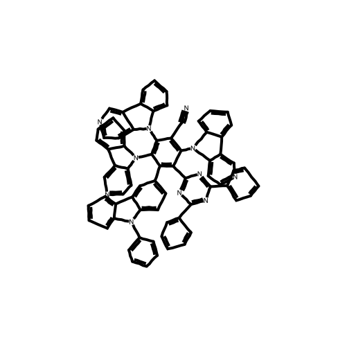 N#Cc1c(-n2c3ccccc3c3cnccc32)c(-c2nc(-c3ccccc3)nc(-c3ccccc3)n2)c(-c2ccc3c(c2)c2ccccc2n3-c2ccccc2)c(-n2c3ccccc3c3cnccc32)c1-n1c2ccccc2c2cnccc21